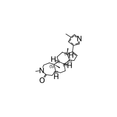 Cc1cncc(C2=CC[C@H]3[C@@H]4CC[C@H]5CC(=O)N(C)CC[C@]5(C)[C@H]4CC[C@]23C)c1